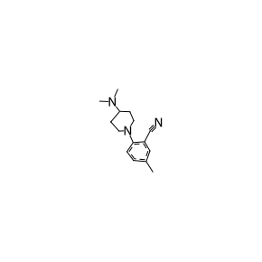 Cc1ccc(N2CCC(N(C)C)CC2)c(C#N)c1